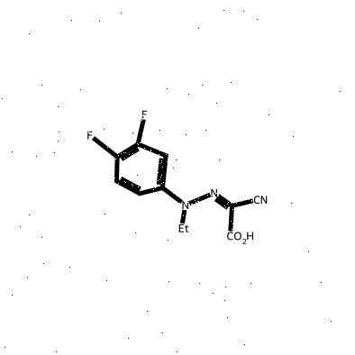 CCN(N=C(C#N)C(=O)O)c1ccc(F)c(F)c1